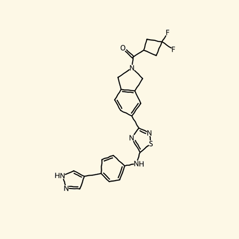 O=C(C1CC(F)(F)C1)N1Cc2ccc(-c3nsc(Nc4ccc(-c5cn[nH]c5)cc4)n3)cc2C1